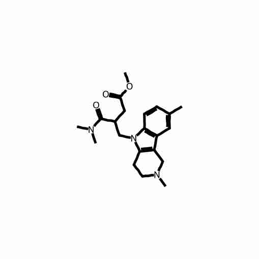 COC(=O)CC(Cn1c2c(c3cc(C)ccc31)CN(C)CC2)C(=O)N(C)C